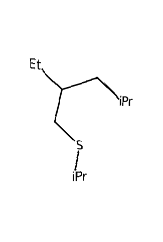 CCC(CSC(C)C)CC(C)C